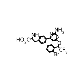 Nc1nc(OC(c2ccccc2Br)C(F)(F)F)cc(-c2ccc(CC(N)C(=O)O)cc2)n1